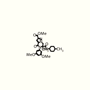 COC(=O)c1cc2n(n1)CC(C)(C(=O)NC1CCC(C)CC1)N(c1cc(OC)cc(OC)c1)C2=O